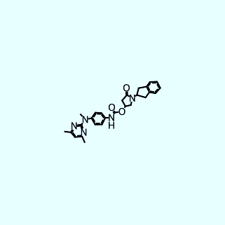 Cc1cc(C)nc(N(C)c2ccc(NC(=O)OC3CC(=O)N(C4Cc5ccccc5C4)C3)cc2)n1